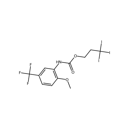 COc1ccc(C(F)(F)F)cc1NC(=O)OCCC(I)(I)I